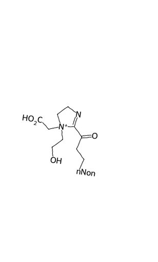 CCCCCCCCCCCC(=O)C1=NCC[N+]1(CCO)CC(=O)O